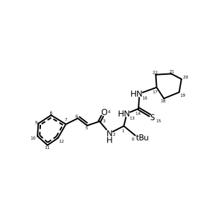 CC(C)(C)C(NC(=O)/C=C/c1ccccc1)NC(=S)NC1CCCCC1